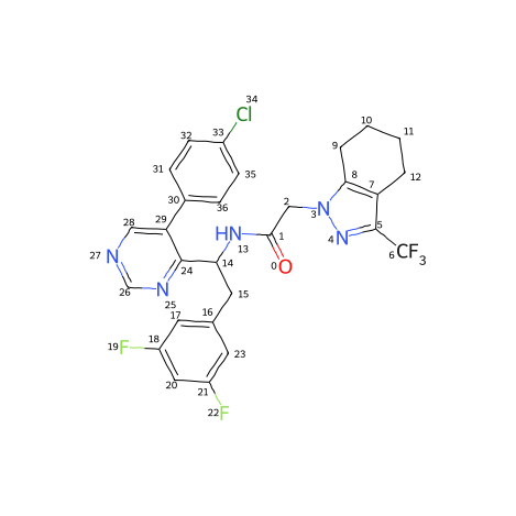 O=C(Cn1nc(C(F)(F)F)c2c1CCCC2)NC(Cc1cc(F)cc(F)c1)c1ncncc1-c1ccc(Cl)cc1